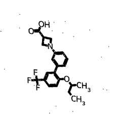 CCC(C)Oc1ccc(C(F)(F)F)cc1-c1cccc(N2CC(C(=O)O)C2)c1